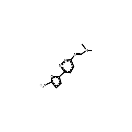 CN(C)/C=N/c1ccc(-c2ccc([N+](=O)[O-])o2)nn1